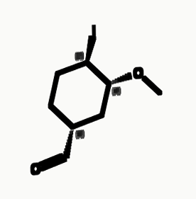 CO[C@@H]1C[C@H](C=O)CC[C@H]1I